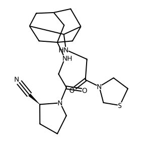 N#C[C@@H]1CCCN1C(=O)CNC12CC3CC(C1)C(NCC(=O)N1CCSC1)C(C3)C2